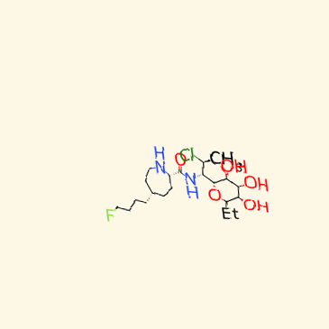 CCC1O[C@H]([C@H](NC(=O)[C@@H]2CC[C@H](CCCCF)CCN2)[C@H](C)Cl)[C@@H](O)C(O)[C@H]1O